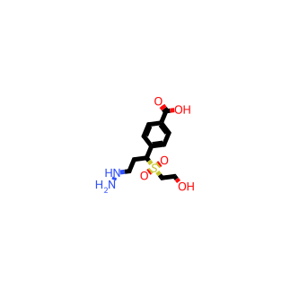 NNCCC(c1ccc(C(=O)O)cc1)S(=O)(=O)CCO